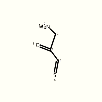 CNCC(=O)[C]=S